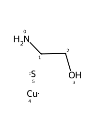 NCCO.[Cu].[S]